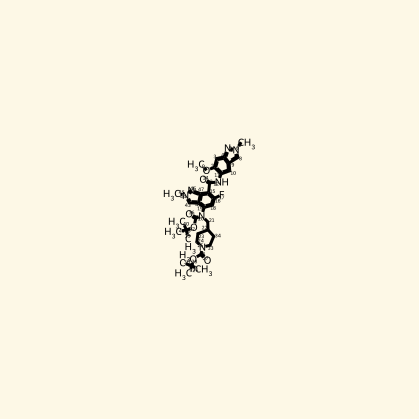 COc1cc2nn(C)cc2cc1NC(=O)c1c(F)cc(N(CC2CCN(C(=O)OC(C)(C)C)CC2)C(=O)OC(C)(C)C)c2cn(C)nc12